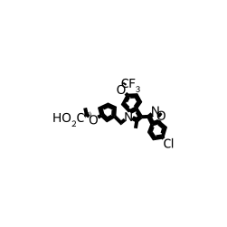 Cc1c(-c2noc3cc(Cl)ccc23)c2ccc(OC(F)(F)F)cc2n1Cc1cccc(O[C@H](C)C(=O)O)c1